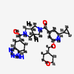 O=C(c1cc(OCC2CCOCC2)nc(C2CC2)c1)N1C[C@@H]2CN(C(=O)C3CCc4[nH]nnc4C3)C[C@H]2C1